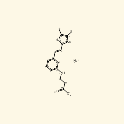 Cc1nc(C=Cc2cccc(NCCC(=O)[O-])c2)sc1C.[Na+]